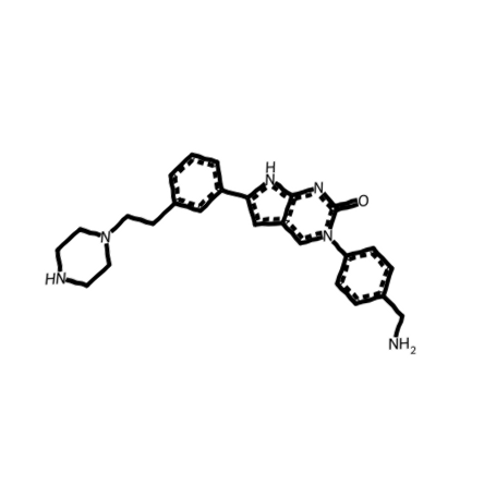 NCc1ccc(-n2cc3cc(-c4cccc(CCN5CCNCC5)c4)[nH]c3nc2=O)cc1